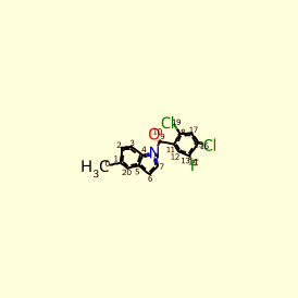 Cc1ccc2c(ccn2C(=O)c2cc(F)c(Cl)cc2Cl)c1